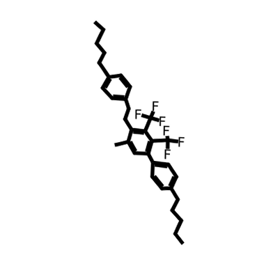 CCCCCc1ccc(CCc2c(C)cc(-c3ccc(CCCCC)cc3)c(C(F)(F)F)c2C(F)(F)F)cc1